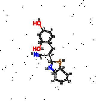 N#CC(=Cc1ccc(O)cc1O)c1nc2ccccc2s1